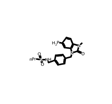 CCCS(=O)(=O)NCc1ccc(Cn2c(=O)n(C)c3ccc(P)cc32)cc1